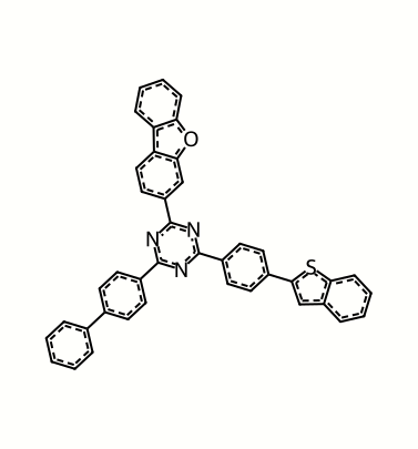 c1ccc(-c2ccc(-c3nc(-c4ccc(-c5cc6ccccc6s5)cc4)nc(-c4ccc5c(c4)oc4ccccc45)n3)cc2)cc1